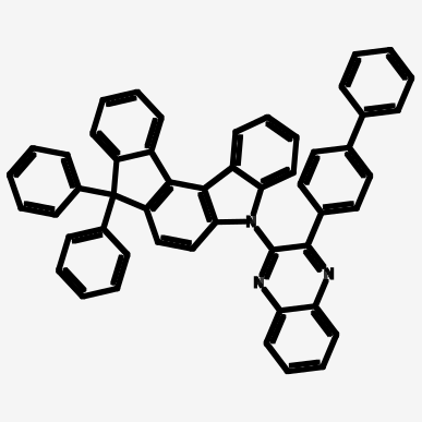 c1ccc(-c2ccc(-c3nc4ccccc4nc3-n3c4ccccc4c4c5c(ccc43)C(c3ccccc3)(c3ccccc3)c3ccccc3-5)cc2)cc1